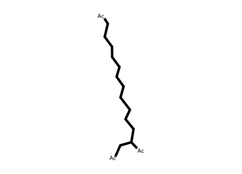 CC(=O)CCCCCCCCCCCC(CC(C)=O)C(C)=O